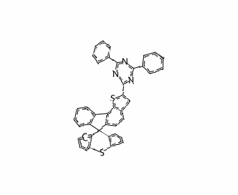 c1ccc(-c2nc(-c3ccccc3)nc(-c3cc4ccc5c(c4s3)-c3ccccc3C53c4ccccc4Sc4ccccc43)n2)cc1